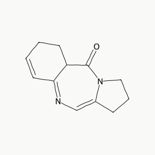 O=C1C2CCC=CC2=NC=C2CCCN12